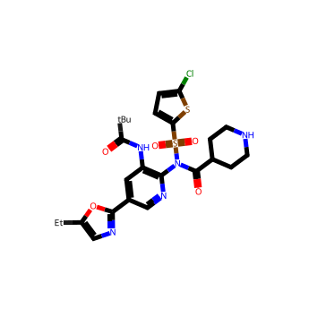 CCc1cnc(-c2cnc(N(C(=O)C3CCNCC3)S(=O)(=O)c3ccc(Cl)s3)c(NC(=O)C(C)(C)C)c2)o1